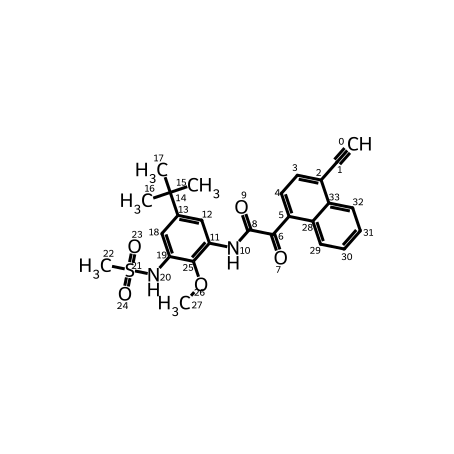 C#Cc1ccc(C(=O)C(=O)Nc2cc(C(C)(C)C)cc(NS(C)(=O)=O)c2OC)c2ccccc12